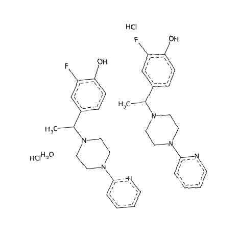 CC(c1ccc(O)c(F)c1)N1CCN(c2ccccn2)CC1.CC(c1ccc(O)c(F)c1)N1CCN(c2ccccn2)CC1.Cl.Cl.O